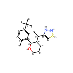 Cc1ccc(C(C)(C)C)cc1C1OCCCC1C(C)c1csnn1